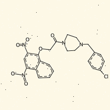 O=C(COc1c([N+](=O)[O-])cc([N+](=O)[O-])c2ccccc12)N1CCN(Cc2ccc(Cl)cc2)CC1